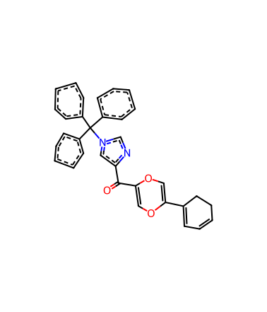 O=C(C1=COC(C2=CC=CCC2)=CO1)c1cn(C(c2ccccc2)(c2ccccc2)c2ccccc2)cn1